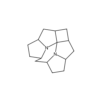 C1CC2CC3CC4CC5CCC6CC1N2C34N65